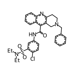 CCN(CC)S(=O)(=O)c1cc(NC(=O)c2c3c(nc4ccccc24)CCN(Cc2ccccc2)C3)ccc1Cl